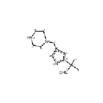 CC(C)(C=O)n1cc(CN2CCNCC2)cn1